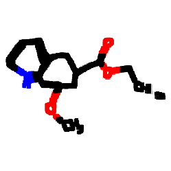 CCOC(=O)C1Cc2cccnc2C(OC)C1